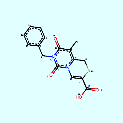 Cc1c2n(c(=O)n(Cc3ccccc3)c1=O)C=C(C(=O)O)SC2